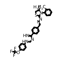 Cc1ccccc1N1/C(=N/N=C/c2ccc(C(=N)/N=C\Nc3ccc(OC(F)(F)F)cc3)cc2)SCC1C